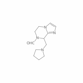 O=CN1CCn2ccnc2C1CN1CCCC1